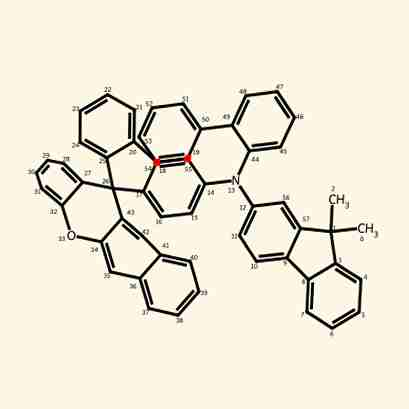 CC1(C)c2ccccc2-c2ccc(N(c3ccc4c(c3)-c3ccccc3C43c4ccccc4Oc4cc5ccccc5cc43)c3ccccc3-c3ccccc3)cc21